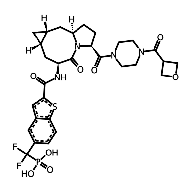 O=C(N[C@H]1C[C@@H]2C[C@@H]2C[C@H]2CC[C@@H](C(=O)N3CCN(C(=O)C4COC4)CC3)N2C1=O)c1cc2cc(C(F)(F)P(=O)(O)O)ccc2s1